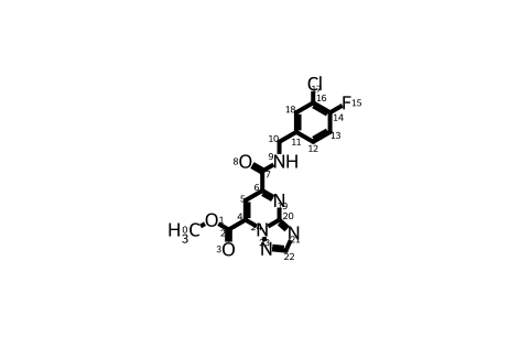 COC(=O)c1cc(C(=O)NCc2ccc(F)c(Cl)c2)nc2ncnn12